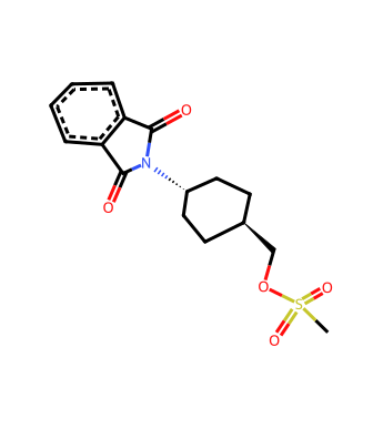 CS(=O)(=O)OC[C@H]1CC[C@H](N2C(=O)c3ccccc3C2=O)CC1